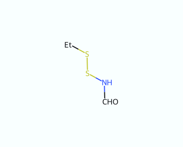 CCSSNC=O